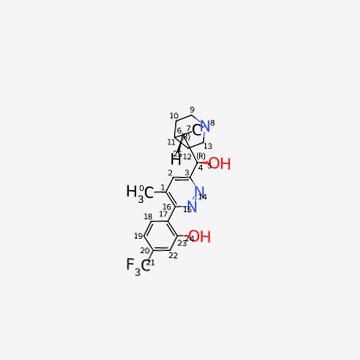 Cc1cc([C@H](O)[C@H]2CN3CCC2CC3)nnc1-c1ccc(C(F)(F)F)cc1O